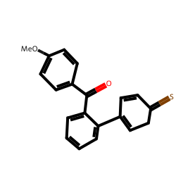 COc1ccc(C(=O)c2ccccc2C2=CCC(=S)C=C2)cc1